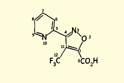 O=C(O)c1onc(-c2ccccn2)c1C(F)(F)F